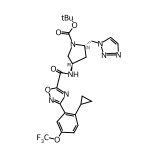 CC(C)(C)OC(=O)N1C[C@H](NC(=O)c2nc(-c3cc(OC(F)(F)F)ccc3C3CC3)no2)C[C@H]1Cn1ccnn1